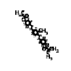 C=CC(=O)Oc1ccc(CCc2ccc(CCc3ccc(OC(=O)C(=C)C)cc3)c(C)c2)cc1